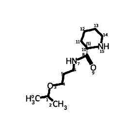 CC(C)OCCCNC(=O)[C@@H]1CCCCN1